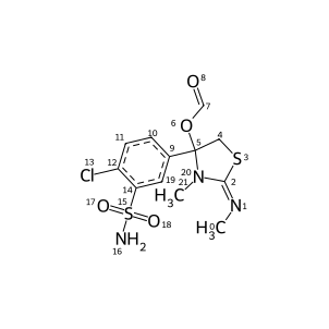 CN=C1SCC(OC=O)(c2ccc(Cl)c(S(N)(=O)=O)c2)N1C